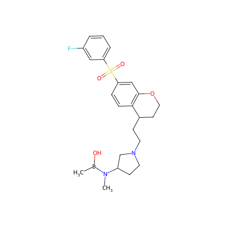 CB(O)N(C)C1CCN(CCC2CCOc3cc(S(=O)(=O)c4cccc(F)c4)ccc32)C1